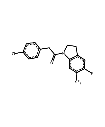 O=C(Cc1ccc(Cl)cc1)N1CCc2cc(F)c(C(F)(F)F)cc21